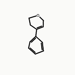 C1=C(c2ccccc2)CCOC1